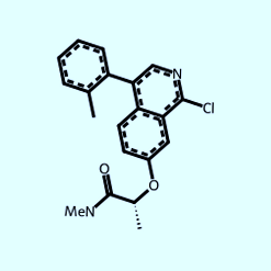 CNC(=O)[C@@H](C)Oc1ccc2c(-c3ccccc3C)cnc(Cl)c2c1